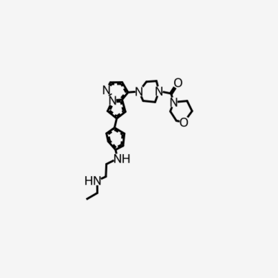 CCNCCNc1ccc(-c2cc3c(N4CCN(C(=O)N5CCOCC5)CC4)ccnn3c2)cc1